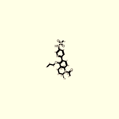 CCCOc1c(-c2ccc(NS(C)(=O)=O)cn2)ccc2c1CC[C@H](C)N2C(C)=O